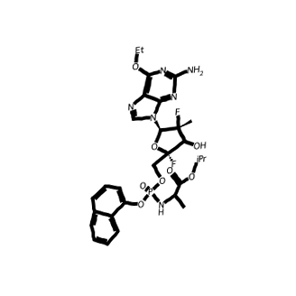 CCOc1nc(N)nc2c1ncn2[C@@H]1O[C@](F)(COP(=O)(NC(C)C(=O)OC(C)C)Oc2cccc3ccccc23)C(O)[C@@]1(C)F